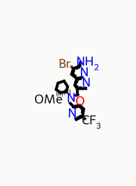 CO[C@@H]1CCCC[C@H]1N(Cc1ccc(C(F)(F)F)cn1)C(=O)c1cnc2nc(N)c(Br)cc2c1